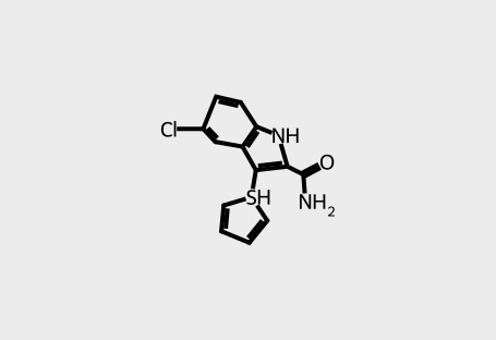 NC(=O)c1[nH]c2ccc(Cl)cc2c1[SH]1C=CC=C1